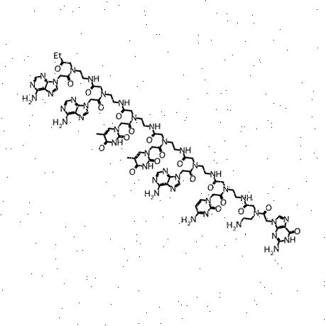 CCC(=O)CN(CCNC(=O)CN(CCNC(=O)CN(CCNC(=O)CN(CCNC(=O)CN(CCNC(=O)CN(CCNC(=O)CN(CCN)C(=O)Cn1cnc2c(=O)[nH]c(N)nc21)C(=O)Cn1ccc(N)nc1=O)C(=O)Cn1cnc2c(N)ncnc21)C(=O)Cn1cc(C)c(=O)[nH]c1=O)C(=O)Cn1cc(C)c(=O)[nH]c1=O)C(=O)Cn1cnc2c(N)ncnc21)C(=O)Cn1cnc2c(N)ncnc21